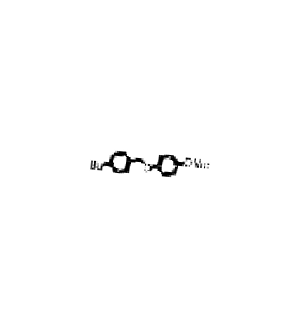 CCC(C)c1ccc(COc2ccc(OC)cc2)cc1